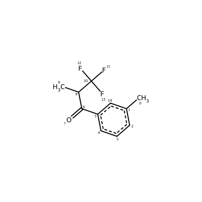 Cc1cccc(C(=O)C(C)C(F)(F)F)c1